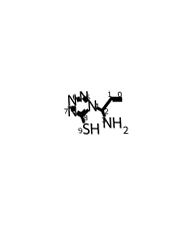 C=CC(N)n1nnnc1S